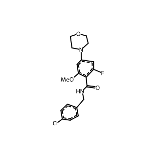 COc1cc(N2CCOCC2)cc(F)c1C(=O)NCc1ccc(Cl)cc1